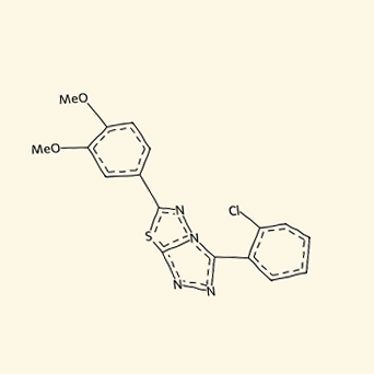 COc1ccc(-c2nn3c(-c4ccccc4Cl)nnc3s2)cc1OC